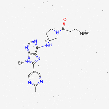 CCn1c(-c2cnc(C)nc2)nc2c(N[C@H]3CCN(C(=O)CCNC)C3)ncnc21